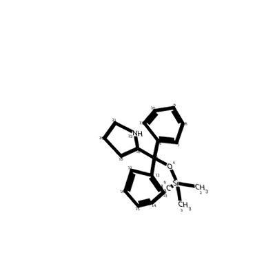 C[Si](C)(C)OC(c1ccccc1)(c1ccccc1)C1CCCN1